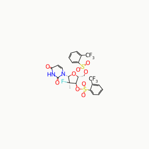 C[C@@]1(F)[C@H](OS(=O)(=O)c2ccccc2C(F)(F)F)[C@@H](COS(=O)(=O)c2ccccc2C(F)(F)F)O[C@H]1n1ccc(=O)[nH]c1=O